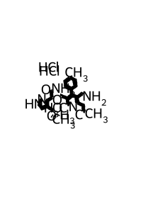 COC(=O)c1c[nH]nc1C(OCc1c(C)nc(CC(C)C)c(CN)c1-c1ccc(C)cc1)C(N)=O.Cl.Cl